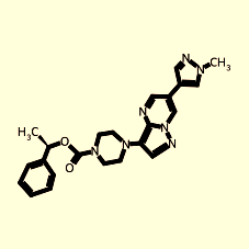 C[C@@H](OC(=O)N1CCN(c2cnn3cc(-c4cnn(C)c4)cnc23)CC1)c1ccccc1